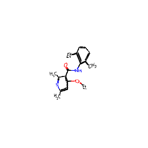 CCOc1cc(C)nc(C)c1C(=O)Nc1c(C)cccc1CC